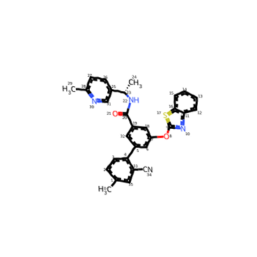 Cc1ccc(-c2cc(Oc3nc4ccccc4s3)cc(C(=O)N[C@@H](C)c3ccc(C)nc3)c2)c(C#N)c1